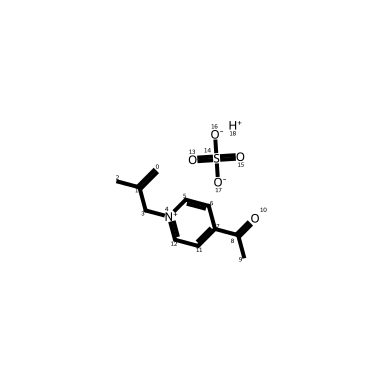 C=C(C)C[n+]1ccc(C(C)=O)cc1.O=S(=O)([O-])[O-].[H+]